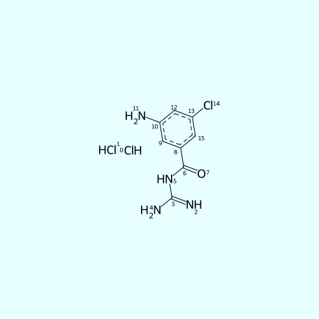 Cl.Cl.N=C(N)NC(=O)c1cc(N)cc(Cl)c1